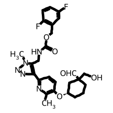 Cc1nc(-c2nnn(C)c2CNC(=O)OCc2cc(F)ccc2F)ccc1O[C@H]1CCCC(C=O)(CO)C1